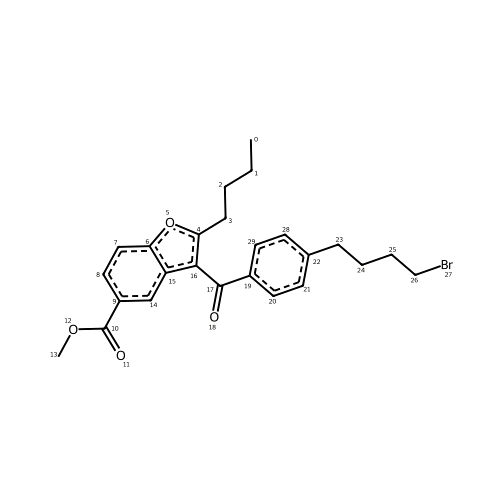 CCCCc1oc2ccc(C(=O)OC)cc2c1C(=O)c1ccc(CCCCBr)cc1